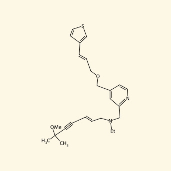 CCN(CC=CC#CC(C)(C)OC)Cc1cc(COCC=Cc2ccsc2)ccn1